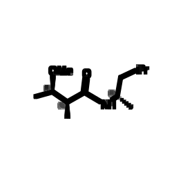 CO[C@H](C)[C@H](C)C(=O)N[C@@H](C)CC(C)C